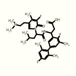 Cc1cc(-c2c(C)cc(F)cc2C)cc(C(CC(=O)O)NC(=O)C(CC(C)C)n2cc(CCN(C)C)c(C)c(F)c2=O)c1F